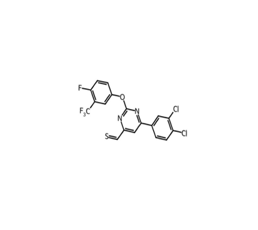 Fc1ccc(Oc2nc(C=S)cc(-c3ccc(Cl)c(Cl)c3)n2)cc1C(F)(F)F